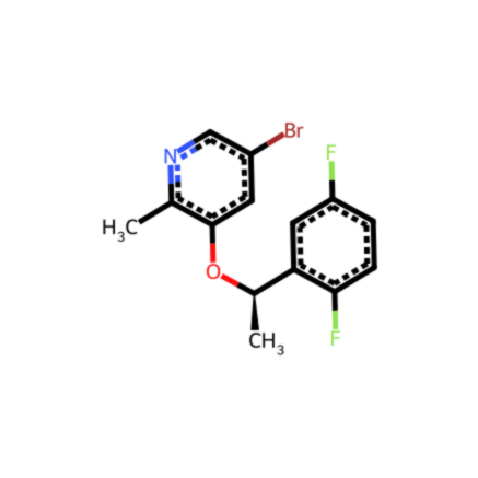 Cc1ncc(Br)cc1O[C@H](C)c1cc(F)ccc1F